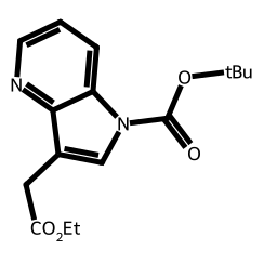 CCOC(=O)Cc1cn(C(=O)OC(C)(C)C)c2cccnc12